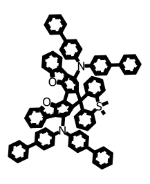 CS1(C)c2ccccc2C2(c3ccccc31)c1cc(N(c3ccc(-c4ccccc4)cc3)c3ccc(-c4ccccc4)cc3)c3c(oc4ccccc43)c1-c1c2cc(N(c2ccc(-c3ccccc3)cc2)c2ccc(-c3ccccc3)cc2)c2c1oc1ccccc12